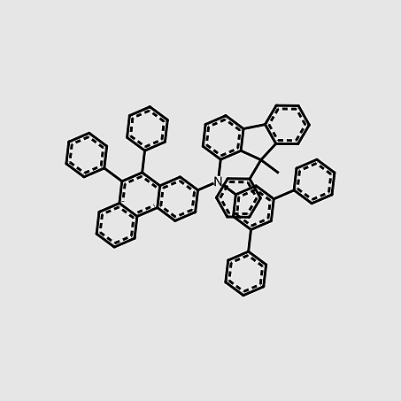 CC1(c2ccccc2)c2ccccc2-c2cccc(N(c3cc(-c4ccccc4)cc(-c4ccccc4)c3)c3ccc4c(c3)c(-c3ccccc3)c(-c3ccccc3)c3ccccc34)c21